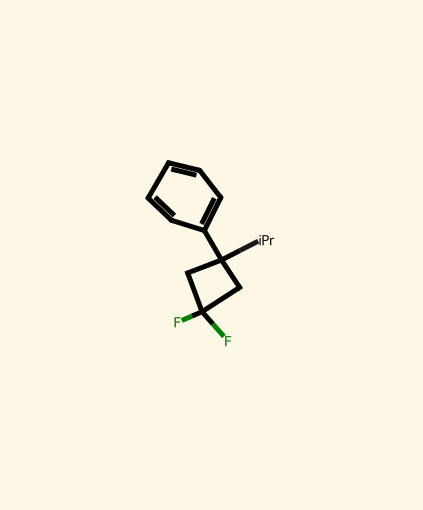 CC(C)C1(c2ccccc2)CC(F)(F)C1